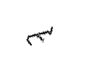 CCCCC/C=C\C/C=C\CCCCCCCCN(CCCCCCCC/C=C\C/C=C\CCCCC)C(=O)OCCCN(C)C